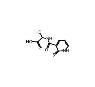 CC(NC(=O)c1ccc[nH]c1=S)C(=O)O